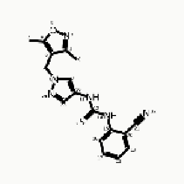 Cc1noc(C)c1Cn1cc(NC(=S)Nc2ccccc2C#N)cn1